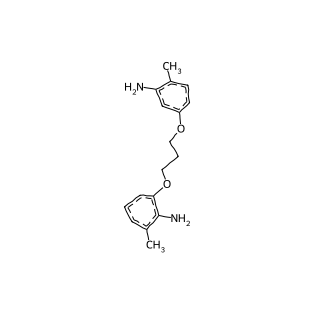 Cc1ccc(OCCCOc2cccc(C)c2N)cc1N